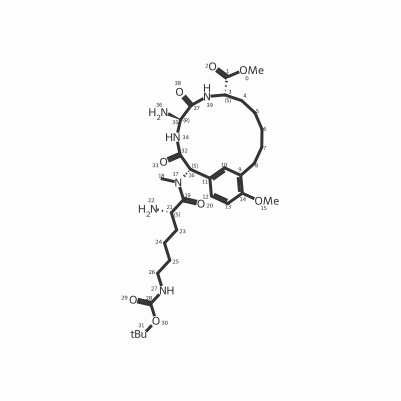 COC(=O)[C@@H]1CCCCCc2cc(ccc2OC)[C@H](N(C)C(=O)[C@@H](N)CCCCNC(=O)OC(C)(C)C)C(=O)N[C@@H](N)C(=O)N1